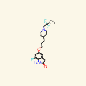 O=C1Cc2cc(OCCCC3CCN(CC(F)(F)C(F)(F)F)CC3)cc(F)c2N1